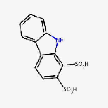 O=S(=O)(O)c1ccc2c([nH]c3ccccc32)c1S(=O)(=O)O